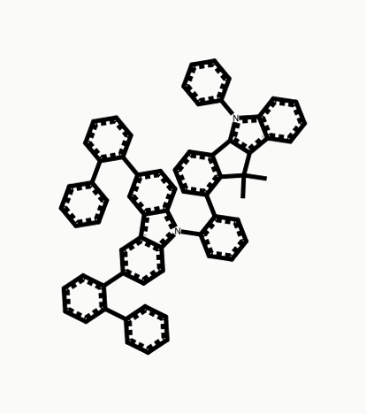 CC1(C)c2c(-c3ccccc3-n3c4ccc(-c5ccccc5-c5ccccc5)cc4c4cc(-c5ccccc5-c5ccccc5)ccc43)cccc2-c2c1c1ccccc1n2-c1ccccc1